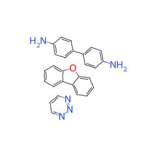 Nc1ccc(-c2ccc(N)cc2)cc1.c1ccc2c(c1)oc1ccccc12.c1cnnnc1